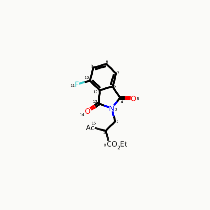 CCOC(=O)C(CN1C(=O)c2cccc(F)c2C1=O)C(C)=O